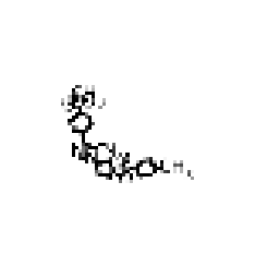 Cc1ccc(S(=O)(=O)n2ccc3c2ncc2c(-c4ccc(S(C)(=O)=O)cc4)ncn23)cc1